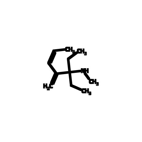 C=C(/C=C\C)C(CC)(CC)NC